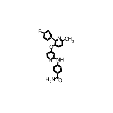 Cc1ccc(Oc2ccnc(Nc3ccc(C(N)=O)cc3)c2)c(-c2ccc(F)cc2)n1